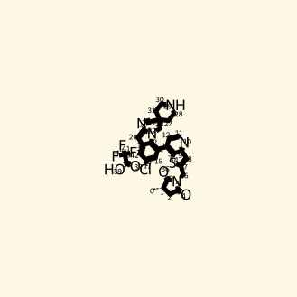 C[C@H]1CC(=O)N(Cc2cc3nccc(-c4cc(Cl)cc5ccn(CC6(C#N)CCNCC6)c45)c3s2)C1=O.O=C(O)C(F)(F)F